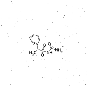 CC(c1ccccc1)S(=O)(=O)NC(N)=O